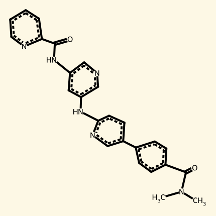 CN(C)C(=O)c1ccc(-c2ccc(Nc3cncc(NC(=O)c4ccccn4)c3)nc2)cc1